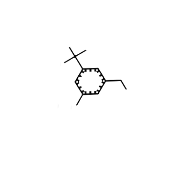 OCc1cc(Br)cc(C(F)(F)F)c1.[BH4-].[Li+]